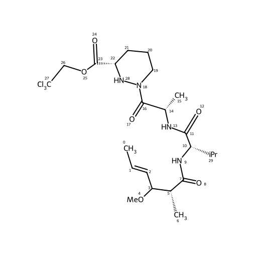 C/C=C/C(OC)[C@@H](C)C(=O)N[C@H](C(=O)N[C@@H](C)C(=O)N1CCC[C@@H](C(=O)OCC(Cl)(Cl)Cl)N1)C(C)C